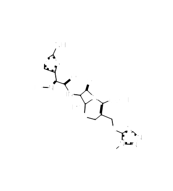 Cn1nnnc1SCC1=C(C(=O)O)N2C(=O)C(NC(=O)C(=NO)c3csc(N)n3)[C@@H]2SC1